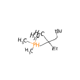 CCC(C)(CC(C)(C)C)C[PH](C)(C)C